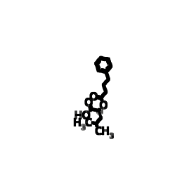 CC(C)C[C@H](OC(=O)CCCc1ccccc1)C(=O)O